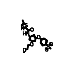 COCCOc1cc(NC(=O)c2ncc(C)s2)cc(Oc2ccc(S(C)(=O)=O)cc2)c1